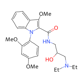 CCN(CC)CC(O)CNC(=O)c1c(OC)c2ccccc2n1-c1ccc(OC)cc1OC